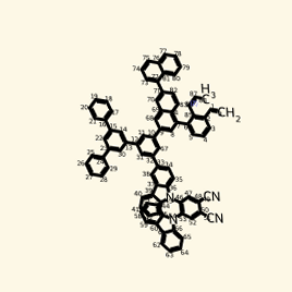 C=Cc1cccc(-c2cc(-c3cc(-c4cc(-c5ccccc5)cc(-c5ccccc5)c4)cc(-c4ccc5c(c4)c4ccccc4n5-c4cc(C#N)c(C#N)cc4-n4c5ccccc5c5ccccc54)c3)cc3cc(-c4cccc5ccccc45)ccc23)c1/C=C\C